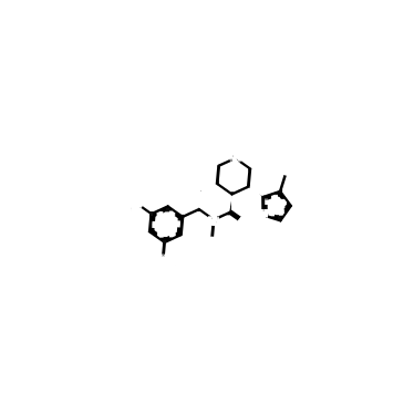 Cc1ccsc1[C@H]1CNCC[C@@H]1C(=O)N(C)[C@@H](C)c1cc(C(F)(F)F)cc(C(F)(F)F)c1.Cl